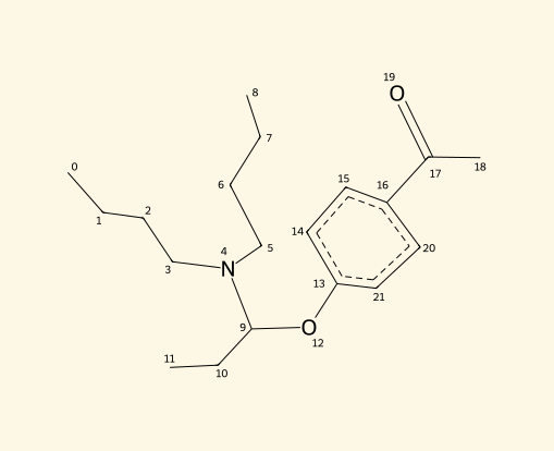 CCCCN(CCCC)C(CC)Oc1ccc(C(C)=O)cc1